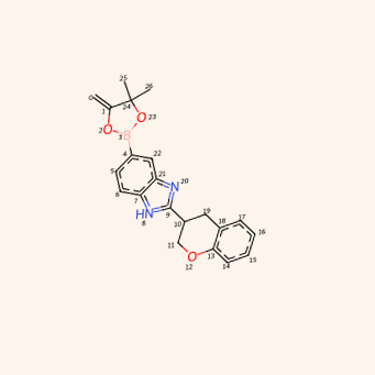 C=C1OB(c2ccc3[nH]c(C4COc5ccccc5C4)nc3c2)OC1(C)C